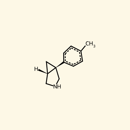 Cc1ccc([C@@]23CNC[C@@H]2C3)cc1